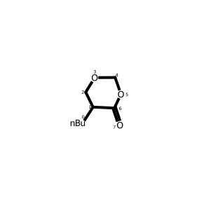 CCCCC1COCOC1=O